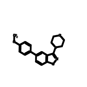 FC(F)(F)Oc1ccc(-c2ccc3onc(N4CCOCC4)c3c2)cc1